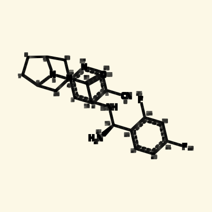 N#Cc1ccc(N2C3CCC2CN(C(=O)CN[C@H](N)c2ccc(F)cc2F)C3)nc1